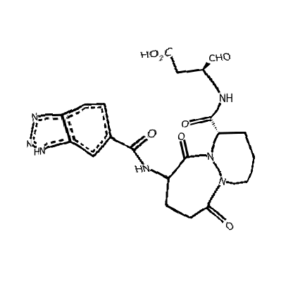 O=C[C@H](CC(=O)O)NC(=O)[C@@H]1CCCN2C(=O)CCC(NC(=O)c3ccc4nn[nH]c4c3)C(=O)N12